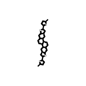 Cc1ccc(-c2cc3cc4c(ccc5c6cc7cc(-c8ccc(C)s8)oc7cc6ccc45)cc3o2)s1